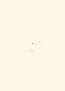 CCCc1onc(CSc2c(Cl)cccc2Cl)c1CO